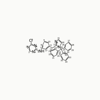 Clc1ncnc(Nc2cccc(Cc3nccn3C(c3ccccc3)(c3ccccc3)c3ccccc3)c2)n1